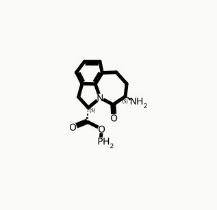 N[C@H]1CCc2cccc3c2N(C1=O)[C@H](C(=O)OP)C3